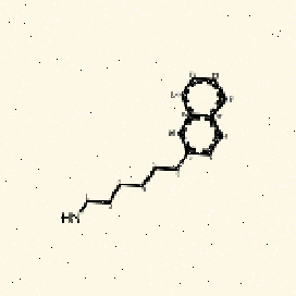 [NH]CCCCCCc1ccc2ccccc2c1